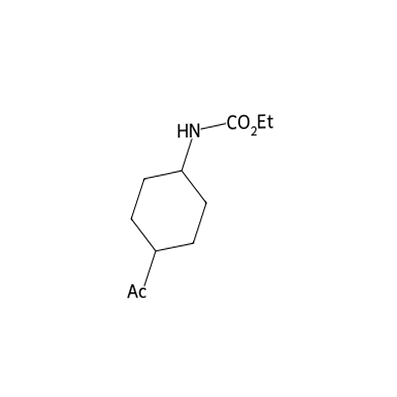 CCOC(=O)NC1CCC(C(C)=O)CC1